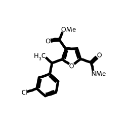 CNC(=O)c1cc(C(=O)OC)c(C(C)c2cccc(Cl)c2)o1